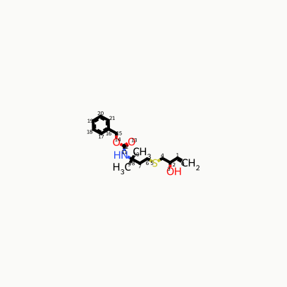 C=CC(O)CSCCC(C)(C)NC(=O)OCc1ccccc1